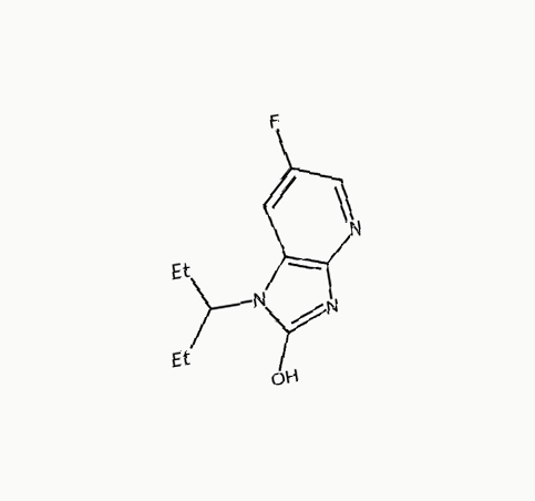 CCC(CC)n1c(O)nc2ncc(F)cc21